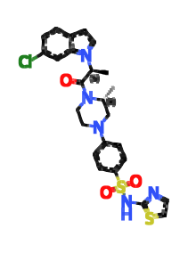 C[C@@H]1CN(c2ccc(S(=O)(=O)Nc3nccs3)cc2)CCN1C(=O)[C@H](C)n1ccc2ccc(Cl)cc21